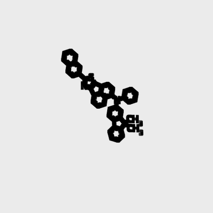 CC1(C)c2ccccc2-c2ccc(N(c3ccccc3)c3ccc4c5c(cccc35)-c3nc(-c5ccc6ccccc6c5)sc3-4)cc21